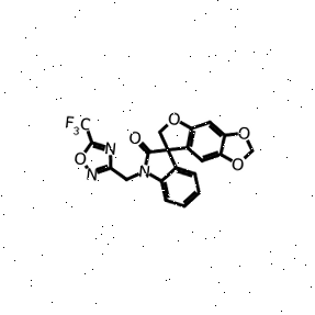 O=C1N(Cc2noc(C(F)(F)F)n2)c2ccccc2C12COc1cc3c(cc12)OCO3